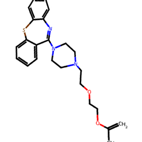 C=C(C)OCCOCCN1CCN(C2=Nc3ccccc3Sc3ccccc32)CC1